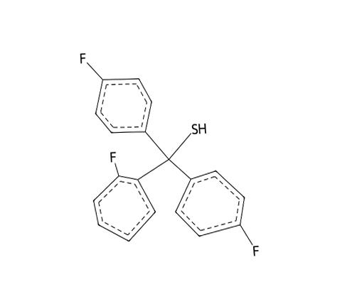 Fc1ccc(C(S)(c2ccc(F)cc2)c2ccccc2F)cc1